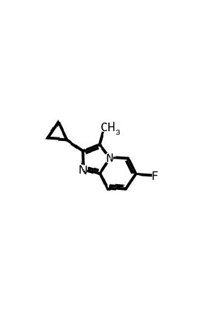 Cc1c(C2CC2)nc2ccc(F)cn12